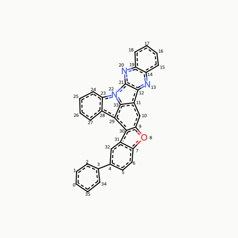 c1ccc(-c2ccc3oc4cc5c6nc7ccccc7nc6n6c7ccccc7c(c4c3c2)c56)cc1